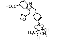 CC1(C)OB(C2=CCN(Cc3nc4ccc(C(=O)O)cc4n3CC3CCO3)CC2)OC1(C)C